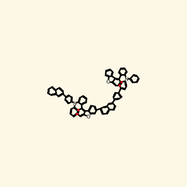 c1ccc(N(c2ccc(-c3ccc(-c4ccc5ccc(-c6ccc7c(c6)oc6cccc(-c8ccccc8N(c8ccccc8)c8ccc(-c9ccc%10ccccc%10c9)cc8)c67)cc5c4)cc3)cc2)c2ccccc2-c2cccc3oc4ccccc4c23)cc1